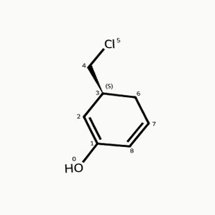 OC1=C[C@@H](CCl)CC=C1